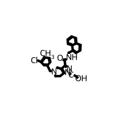 Cc1ccc(CN2CCc3c(c(C(=O)NCc4cccc5ccccc45)nn3CCO)C2)cc1Cl